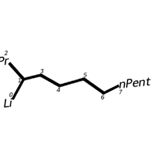 [Li][CH](CCC)CCCCCCCCC